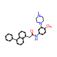 COc1ccc(NC(=O)Cc2cccc3c(-c4ccccc4)cccc23)cc1N1CCN(C)CC1